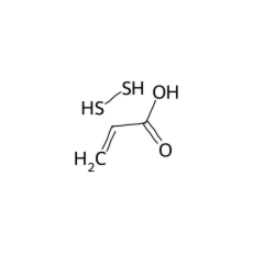 C=CC(=O)O.SS